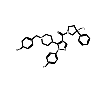 C[C@]1(c2ccccc2)CCN(C(=O)c2cnn(-c3ccc(Cl)cc3)c2C2CCN(CC3=CCC(C#N)C=C3)CC2)C1